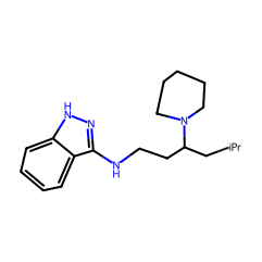 CC(C)CC(CCNc1n[nH]c2ccccc12)N1CCCCC1